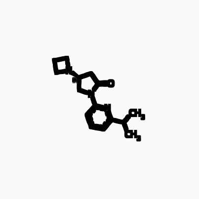 CC(C)c1cccc(N2C[C@@H](N3CCC3)CC2=O)n1